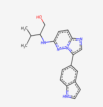 CC(C)C(CO)Nc1ccc2ncc(-c3ccc4[nH]ccc4c3)n2n1